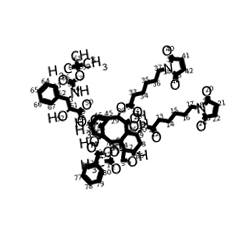 CC(=O)O[C@@]12CO[C@@H]1C[C@H](PC(=O)CCCCCN1C(=O)C=CC1=O)[C@@]1(O)C(=O)[C@H](OC(=O)CCCCCN3C(=O)C=CC3=O)C3=C[C@@H](OC(=O)[C@@H](O)[C@@H](NC(=O)OC(C)(C)C)c4ccccc4)C[C@@](O)([C@@H](OC(=O)c4ccccc4)[C@H]21)C3(C)C